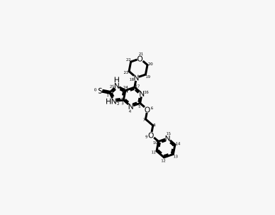 S=c1[nH]c2nc(OCCOc3ccccn3)nc(N3CCOCC3)c2[nH]1